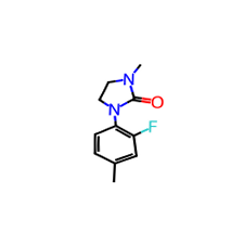 Cc1ccc(N2CCN(C)C2=O)c(F)c1